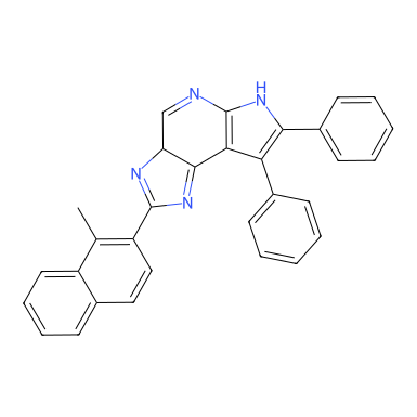 Cc1c(C2=NC3C=Nc4[nH]c(-c5ccccc5)c(-c5ccccc5)c4C3=N2)ccc2ccccc12